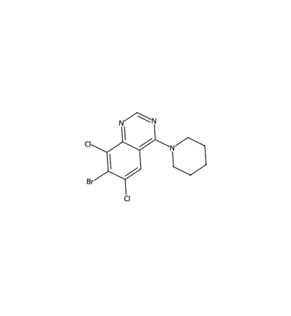 Clc1cc2c(N3CCCCC3)ncnc2c(Cl)c1Br